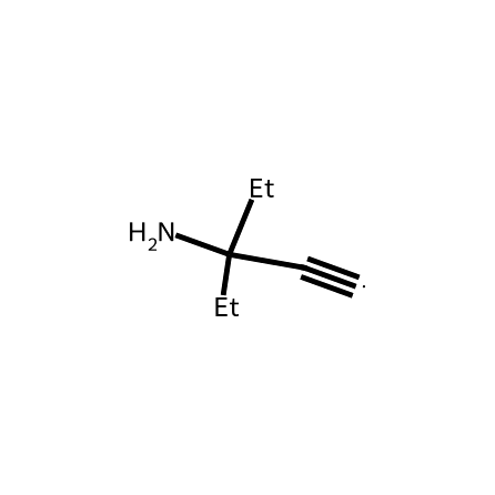 [C]#CC(N)(CC)CC